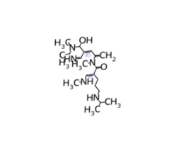 C=C(/C=C(\C=N)C(O)N(C)CC)N(C)C(=O)/C(=C/NC)CCCNC(C)C